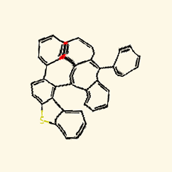 c1ccc(-c2ccc3sc4ccccc4c3c2-c2c3ccccc3c(-c3ccccc3)c3ccccc23)cc1